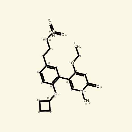 CCOc1cc(=O)n(C)cc1-c1cc(CCN[SH](=O)=O)ccc1OC1CCC1